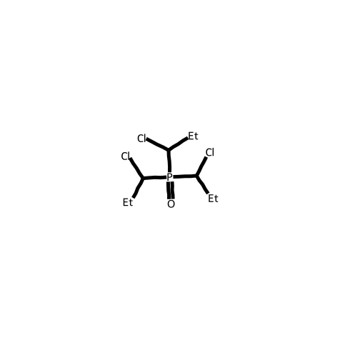 CCC(Cl)P(=O)(C(Cl)CC)C(Cl)CC